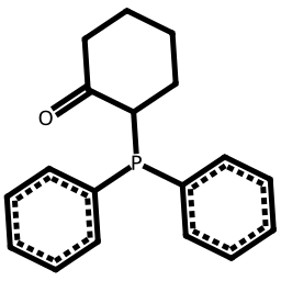 O=C1CCCCC1P(c1ccccc1)c1ccccc1